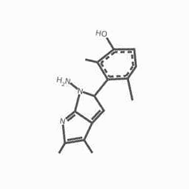 CC1=C(C)C2=CC(c3c(C)ccc(O)c3C)N(N)C2=N1